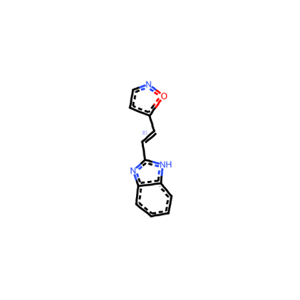 C(=C\c1ccno1)/c1nc2ccccc2[nH]1